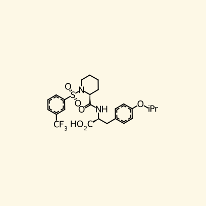 CC(C)Oc1ccc(C[C@H](NC(=O)[C@@H]2CCCCN2S(=O)(=O)c2cccc(C(F)(F)F)c2)C(=O)O)cc1